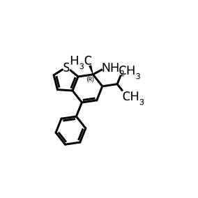 CC(C)C1C=C(c2ccccc2)c2ccsc2[C@]1(C)N